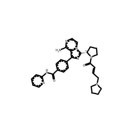 Nc1nccn2c([C@@H]3CCCN3C(=O)C=CCN3CCCC3)nc(-c3ccc(C(=O)Nc4ccccn4)cc3)c12